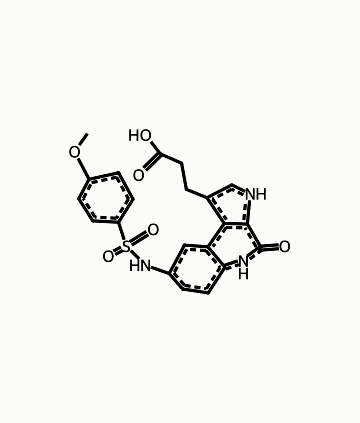 COc1ccc(S(=O)(=O)Nc2ccc3[nH]c(=O)c4[nH]cc(CCC(=O)O)c4c3c2)cc1